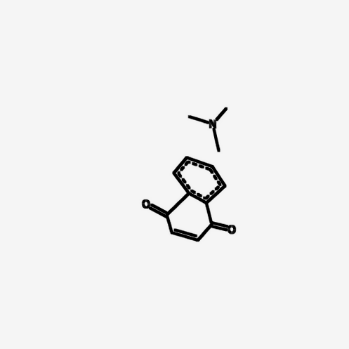 CN(C)C.O=C1C=CC(=O)c2ccccc21